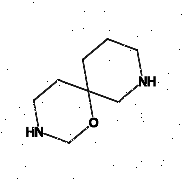 C1CNCC2(C1)CCNCO2